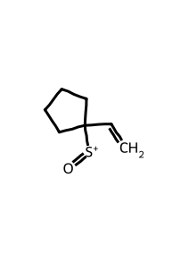 C=CC1([S+]=O)CCCC1